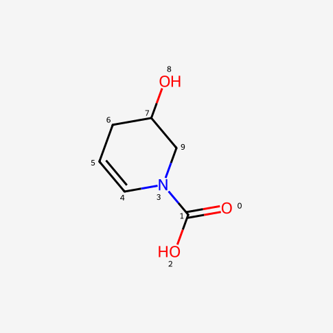 O=C(O)N1C=CCC(O)C1